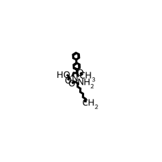 C=CCCCCC[C@H](N)C(=O)N1C[C@](OC)(c2ccc(C3C=CC=CC3)cc2)C[C@H]1C(=O)O